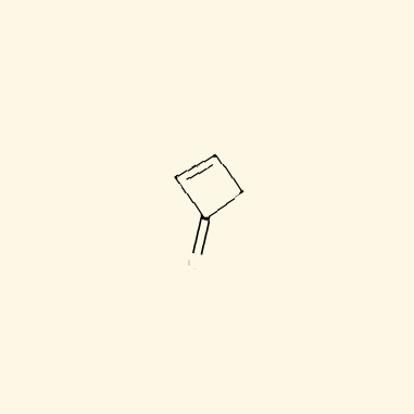 O=C1C=[C]C1